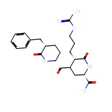 N=C(N)NCCC[C@H]1C(=O)N[C@@H](C(N)=O)CC1C(=O)[C@H]1CC[C@H](Cc2ccccc2)C(=O)N1